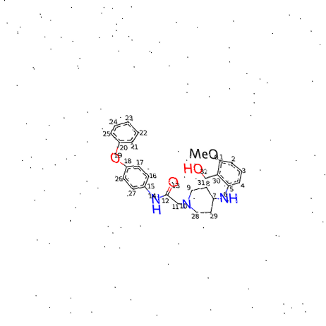 COc1cccc(NC2CCN(CC(=O)Nc3ccc(Oc4ccccc4)cc3)CC2)c1CO